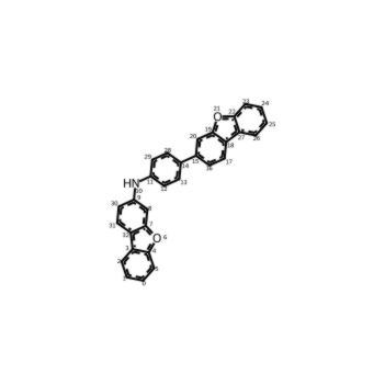 c1ccc2c(c1)oc1cc(Nc3ccc(-c4ccc5c(c4)oc4ccccc45)cc3)ccc12